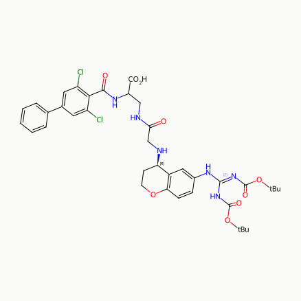 CC(C)(C)OC(=O)/N=C(\NC(=O)OC(C)(C)C)Nc1ccc2c(c1)[C@H](NCC(=O)NCC(NC(=O)c1c(Cl)cc(-c3ccccc3)cc1Cl)C(=O)O)CCO2